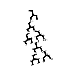 CCC(CC)COCC(COCC(CC)CC)COCC(CO)COCC(COCC(CC)CC)COCC(CC)CC